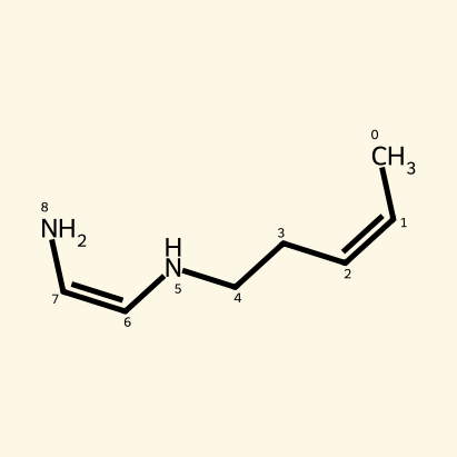 C/C=C\CCN/C=C\N